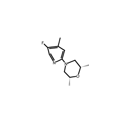 Cc1cc(N2C[C@@H](C)O[C@@H](C)C2)ncc1F